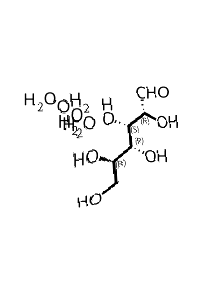 O.O.O.O.O=C[C@H](O)[C@@H](O)[C@H](O)[C@H](O)CO